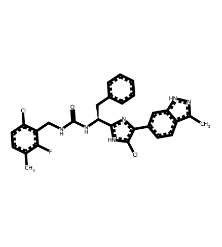 Cc1ccc(Cl)c(CNC(=O)N[C@@H](Cc2ccccc2)c2nc(-c3ccc4c(C)n[nH]c4c3)c(Cl)[nH]2)c1F